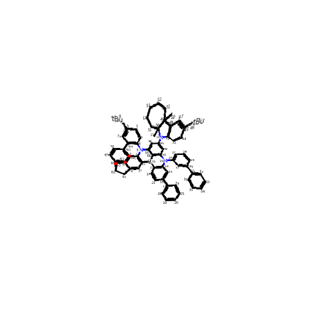 CC(C)(C)c1ccc(N2c3cc4c(cc3B3c5ccc(-c6ccccc6)cc5N(c5cccc(-c6ccccc6)c5)c5cc(N6c7ccc(C(C)(C)C)cc7C7(C)CCCCCC67C)cc2c53)CCC4)c(-c2ccccc2)c1